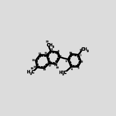 Cc1ccc(C)c(-c2cc(C)c3ccc(C)cc3n2)c1